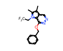 Cc1c(C)n(CC(F)(F)F)c2c(OCc3ccccc3)nncc12